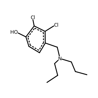 CCCN(CCC)Cc1ccc(O)c(Cl)c1Cl